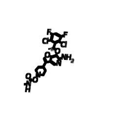 CNC(=O)ON1CC=C(c2coc3c(O[C@H](C)c4c(Cl)c(F)cc(F)c4Cl)c(N)ncc23)CC1